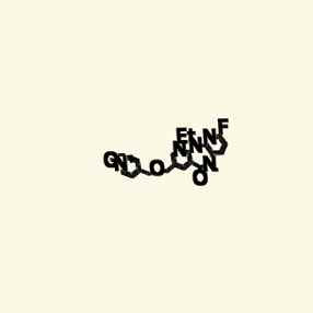 CCN1c2ncc(COCc3cc[n+]([O-])cc3)cc2C(=O)N(C)c2ccc(F)nc21